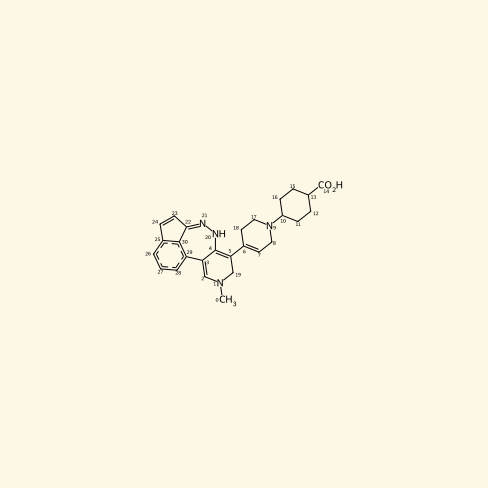 CN1C=C2C(=C(C3=CCN(C4CCC(C(=O)O)CC4)CC3)C1)NN=C1C=Cc3cccc2c31